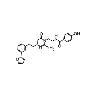 Nc1nc(CCc2cccc(-c3ccco3)c2)cc(=O)n1CCNC(=O)c1ccc(O)cc1